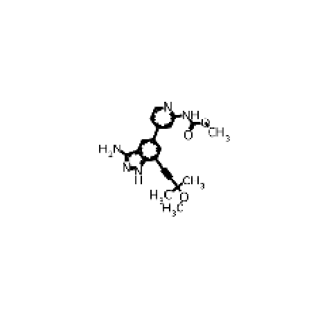 COC(=O)Nc1cc(-c2cc(C#CC(C)(C)OC)c3[nH]nc(N)c3c2)ccn1